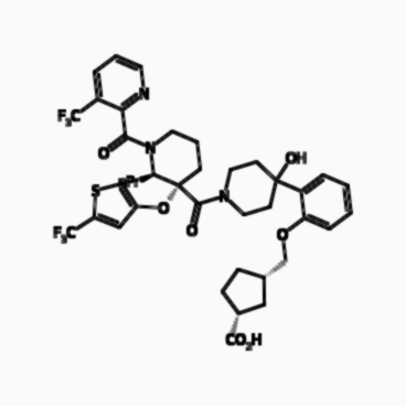 CCC[C@H]1N(C(=O)c2ncccc2C(F)(F)F)CCC[C@@]1(Oc1csc(C(F)(F)F)c1)C(=O)N1CCC(O)(c2ccccc2OC[C@H]2CC[C@@H](C(=O)O)C2)CC1